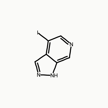 Ic1cncc2[nH]ncc12